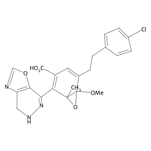 COC12OC1(C)C(C1=NNCc3ncoc31)=C(C(=O)O)C=C2CCc1ccc(Cl)cc1